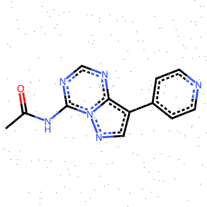 CC(=O)Nc1ncnc2c(-c3ccncc3)cnn12